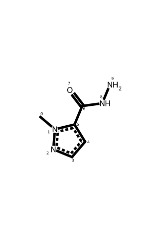 Cn1nccc1C(=O)NN